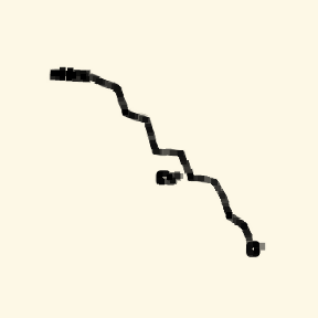 CCCCCCCCCCCCCCC[O-].[Cs+]